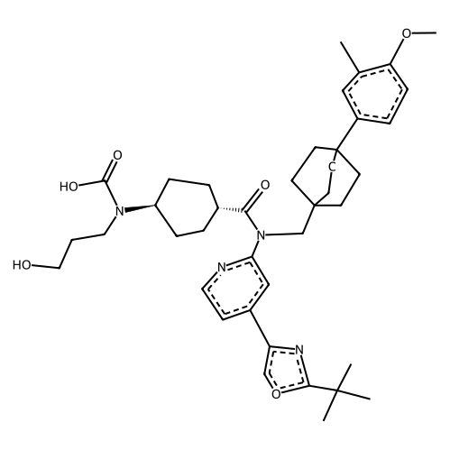 COc1ccc(C23CCC(CN(c4cc(-c5coc(C(C)(C)C)n5)ccn4)C(=O)[C@H]4CC[C@H](N(CCCO)C(=O)O)CC4)(CC2)CC3)cc1C